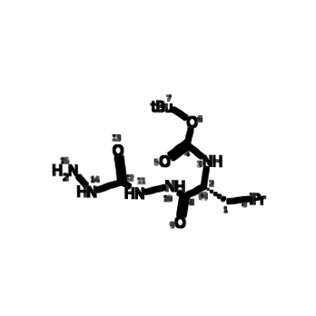 CC(C)C[C@@H](NC(=O)OC(C)(C)C)C(=O)NNC(=O)NN